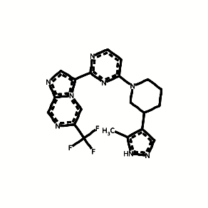 Cc1[nH]ncc1C1CCCN(c2ccnc(-c3cnc4cnc(C(F)(F)F)cn34)n2)C1